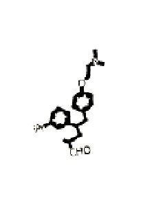 CC(C=O)CC(Cc1ccc(OCCN(C)C)cc1)c1cccc(C(C)C)c1